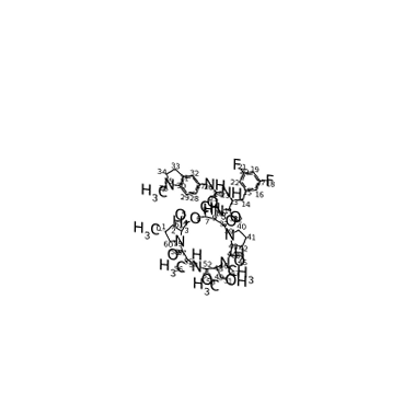 C[C@@H]1C[C@H]2C(=O)O[C@@H](C)[C@H](NC(=O)[C@H](Cc3cc(F)cc(F)c3)NC(=O)Nc3ccc4c(c3)CCN4C)C(=O)N3CCC[C@H]3C(=O)N(C)C([C@@H](C)O)C(=O)N[C@@H](C)C(=O)N2C1